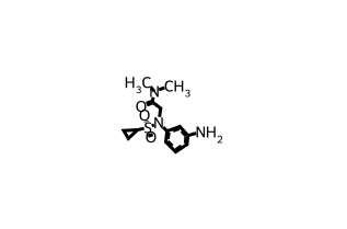 CN(C)C(=O)CN(c1cccc(N)c1)S(=O)(=O)C1CC1